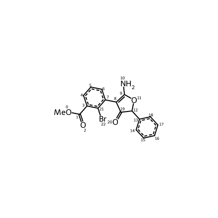 COC(=O)c1cccc(C2=C(N)OC(c3ccccc3)C2=O)c1Br